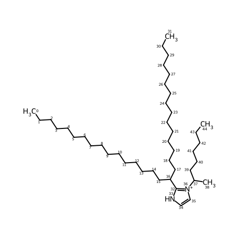 CCCCCCCCCCCCCCCCC(CCCCCCCCCCCCCCC)c1[nH]cc[n+]1C(C)CCCCCC